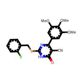 COc1cc(-c2nc(SCc3ccccc3F)[nH]c(=O)c2C#N)cc(OC)c1OC